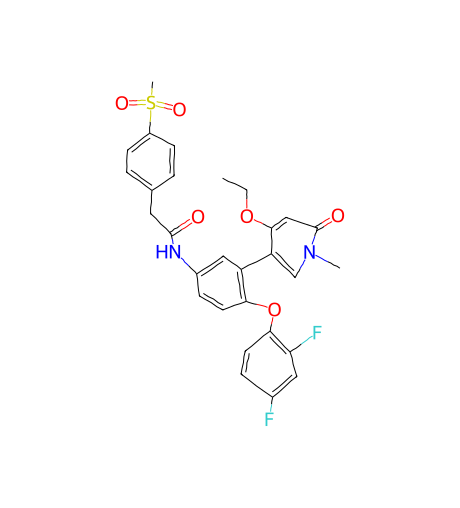 CCOc1cc(=O)n(C)cc1-c1cc(NC(=O)Cc2ccc(S(C)(=O)=O)cc2)ccc1Oc1ccc(F)cc1F